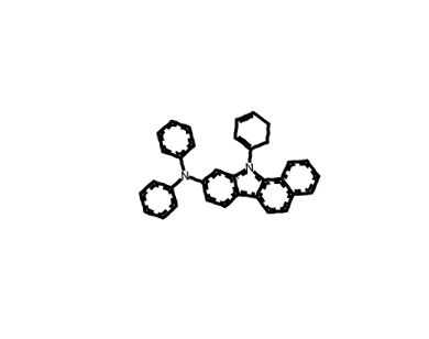 C1=CCCC(n2c3cc(N(c4ccccc4)c4ccccc4)ccc3c3ccc4ccccc4c32)=C1